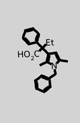 CCC(C(=O)O)(c1ccccc1)c1cc(C)n(Cc2ccccc2)c1C